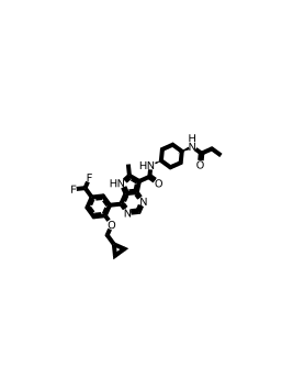 CCC(=O)N[C@H]1CC[C@H](NC(=O)c2c(C)[nH]c3c(-c4cc(C(F)F)ccc4OCC4CC4)ncnc23)CC1